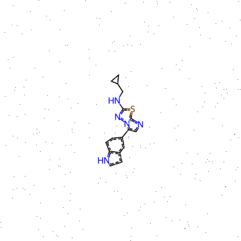 c1cc2cc(-c3cnc4sc(NCC5CC5)nn34)ccc2[nH]1